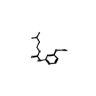 CCCCOc1ccnc(NC(=O)OCCN(C)C)c1